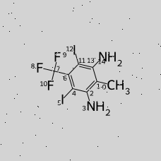 Cc1c(N)c(I)c(C(F)(F)F)c(I)c1N